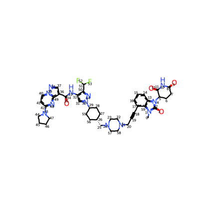 Cn1c(=O)n(C2CCC(=O)NC2=O)c2cccc(C#CCN3CCN(C[C@H]4CC[C@H](n5cc(NC(=O)c6cnn7ccc(N8CCCC8)nc67)c(C(F)F)n5)CC4)CC3)c21